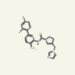 Nc1ccc(-c2ccc(F)cc2F)nc1NC(=O)N1CCC(Cn2ccnc2)C1